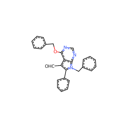 O=Cc1c(-c2ccccc2)n(Cc2ccccc2)c2ncnc(OCc3ccccc3)c12